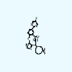 Cc1ncsc1C(CNC(=O)c1cc(-c2ncc(F)cn2)ccc1Cl)C1CCCCC(F)(F)CC1